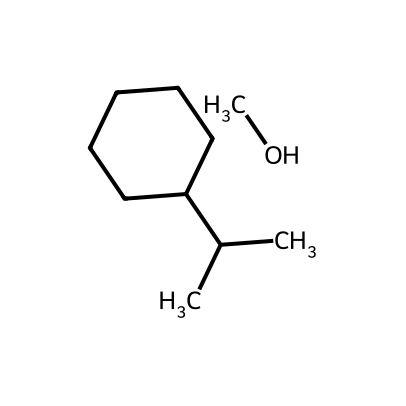 CC(C)C1CCCCC1.CO